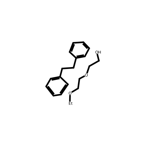 CCOCCOCCO.c1ccc(CCc2ccccc2)cc1